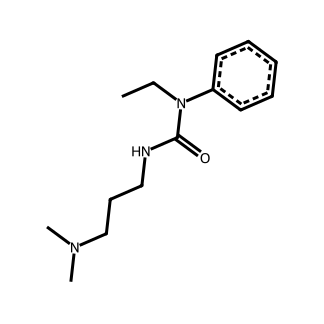 CCN(C(=O)NCCCN(C)C)c1ccccc1